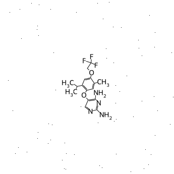 Cc1cc(Oc2cnc(N)nc2N)c(C(C)C)cc1OCC(F)(F)F